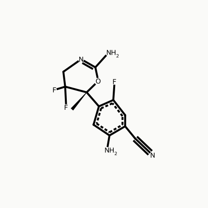 C[C@]1(c2cc(N)c(C#N)cc2F)OC(N)=NCC1(F)F